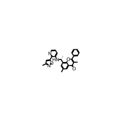 Cc1cc([C@@H](C)Nc2cccnc2-c2cc(C)no2)c2oc(-c3ccccc3)c(C)c(=O)c2c1